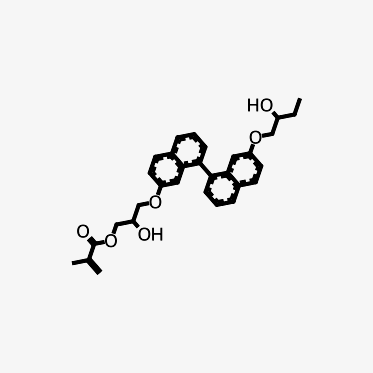 C=C(C)C(=O)OCC(O)COc1ccc2cccc(-c3cccc4ccc(OCC(O)CC)cc34)c2c1